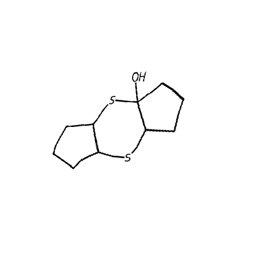 OC12CCCC1SC1CCCC1S2